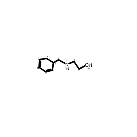 OCCNCC1C=CC=CC1